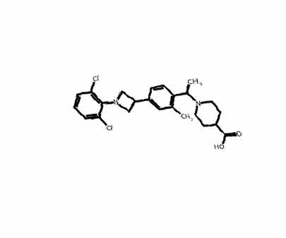 Cc1cc(C2CN(c3c(Cl)cccc3Cl)C2)ccc1C(C)N1CCC(C(=O)O)CC1